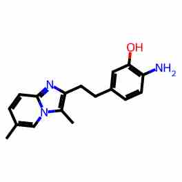 Cc1ccc2nc(CCc3ccc(N)c(O)c3)c(C)n2c1